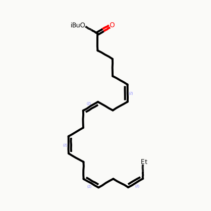 CC/C=C\C/C=C\C/C=C\C/C=C\C/C=C\CCCC(=O)OCC(C)C